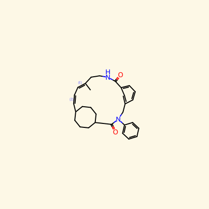 C/C1=C\C=C/C2CCCC(CCC2)C(=O)N(c2ccccc2)Cc2cccc(c2)C(=O)NCC1